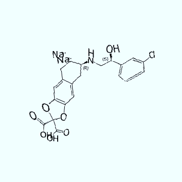 O=C(O)C1(C(=O)O)Oc2cc3c(cc2O1)C[C@H](NC[C@@H](O)c1cccc(Cl)c1)CC3.[Na].[Na]